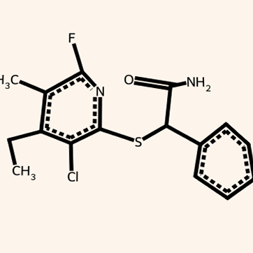 CCc1c(C)c(F)nc(SC(C(N)=O)c2ccccc2)c1Cl